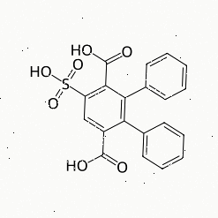 O=C(O)c1cc(S(=O)(=O)O)c(C(=O)O)c(-c2ccccc2)c1-c1ccccc1